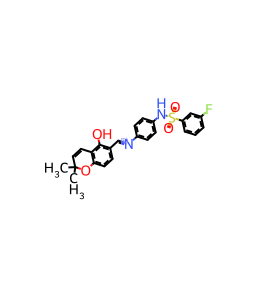 CC1(C)C=Cc2c(ccc(/C=N/c3ccc(NS(=O)(=O)c4cccc(F)c4)cc3)c2O)O1